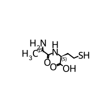 C[C@H](N)C(=O)N[C@@H](CCS)C(=O)O